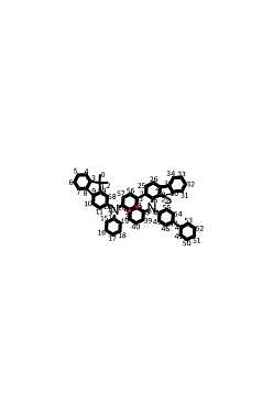 CC1(C)c2ccccc2-c2ccc(N(c3ccccc3)c3ccc(-c4ccc5c(sc6ccccc65)c4N(c4ccccc4)c4ccc(-c5ccccc5)cc4)cc3)cc21